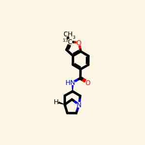 C[13c]1cc2cc(C(=O)N[C@@H]3C[C@H]4CCN(C4)C3)ccc2o1